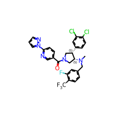 CN(Cc1ccc(C(F)(F)F)c(F)c1)[C@@H]1CN(C(=O)c2ccc(-n3cccn3)nc2)C[C@@H]1c1ccc(Cl)c(Cl)c1